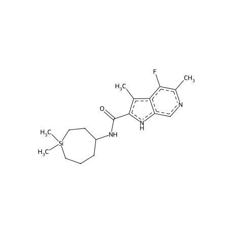 Cc1ncc2[nH]c(C(=O)NC3CCC[Si](C)(C)CC3)c(C)c2c1F